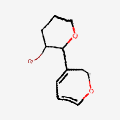 BrC1CCCOC1C1=CC=CO[C]1